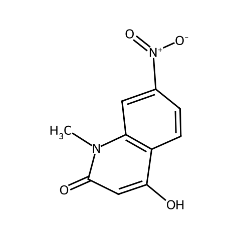 Cn1c(=O)cc(O)c2ccc([N+](=O)[O-])cc21